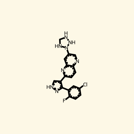 Fc1ccc(Cl)cc1-c1n[nH]cc1-c1ccc2ncc(N3NCNN3)cc2n1